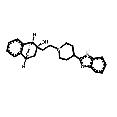 O[C@@]1(CCN2CCC(c3nc4ccccc4[nH]3)CC2)C[C@H]2CC[C@@H]1c1ccccc12